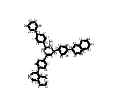 C1=C(c2ccc(-c3cncc4ccccc34)cc2)N=C(c2ccc(-c3ccccc3)cc2)NC1c1ccc(-c2ccc3ccccc3c2)cc1